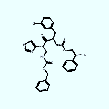 CC(CNC(=O)CN(Cc1cccc(Cl)c1)C(=O)[C@@H](CNC(=O)OCc1ccccc1)c1c[nH]cn1)c1ccccc1